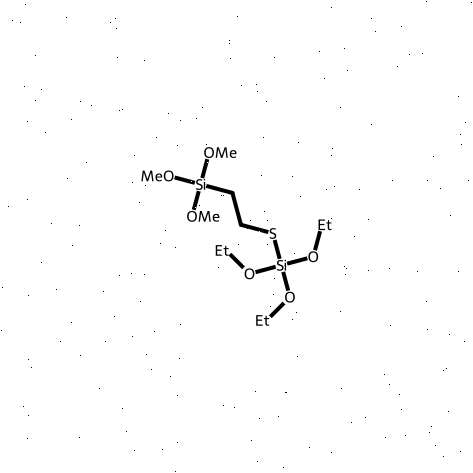 CCO[Si](OCC)(OCC)SCC[Si](OC)(OC)OC